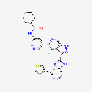 OC(Nc1cncc(-c2ncc3[nH]nc(-c4nc5c(-c6ccsc6)nccc5[nH]4)c3c2F)c1)C1CCCCC1